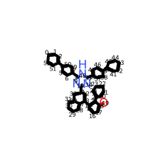 c1ccc(-c2ccc(C3=NC(c4cc(-c5cccc6oc7ccccc7c56)c5ccccc5c4)=NC(c4ccc(-c5ccccc5)cc4)N3)cc2)cc1